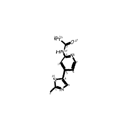 Cc1ncc(-c2ccnc(NC(=O)C(C)C)c2)s1